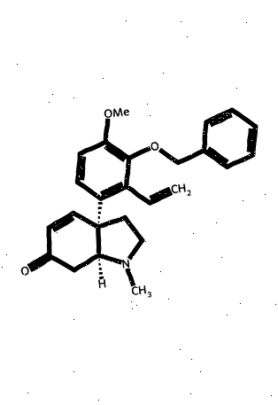 C=Cc1c([C@@]23C=CC(=O)C[C@@H]2N(C)CC3)ccc(OC)c1OCc1ccccc1